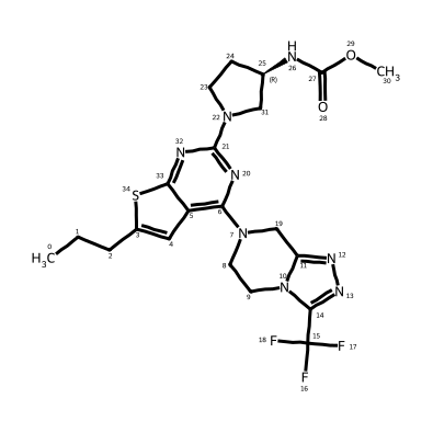 CCCc1cc2c(N3CCn4c(nnc4C(F)(F)F)C3)nc(N3CC[C@@H](NC(=O)OC)C3)nc2s1